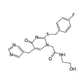 O=C(Cn1cc(Cc2cncnc2)c(=O)nc1SCc1ccc(F)cc1)NCCO